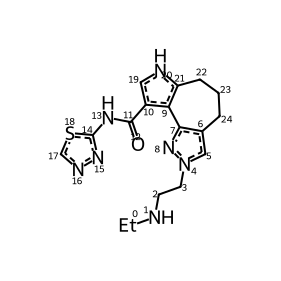 CCNCCn1cc2c(n1)-c1c(C(=O)Nc3nncs3)c[nH]c1CCC2